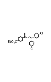 CCOC(=O)c1ccc(NCC=C(c2ccc(Cl)cc2)c2ccc(Cl)cc2)cc1